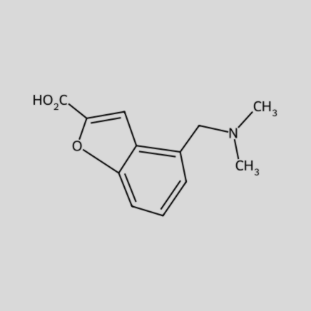 CN(C)Cc1cccc2oc(C(=O)O)cc12